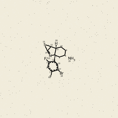 Fc1cc(F)c([C@]23CCCC[C@H]2C2SC2=N3)cc1Br.N